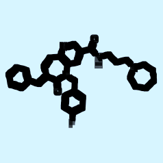 O=C(NCCCN1CCCCCC1)c1cnc2c(c1)N(Cc1ccc(F)cc1)C(=O)/C(=C/c1ccccc1)C=C2